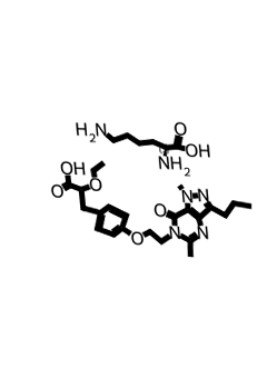 CCCc1nn(C)c2c(=O)n(CCOc3ccc(CC(OCC)C(=O)O)cc3)c(C)nc12.NCCCC[C@H](N)C(=O)O